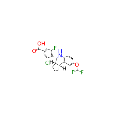 O=C(O)c1cc(F)c([C@@H]2Nc3ccc(OC(F)F)cc3[C@@H]3CCC[C@@H]32)c(Cl)c1